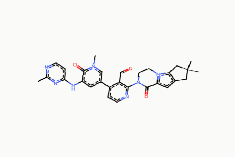 Cc1nccc(Nc2cc(-c3ccnc(N4CCn5c(cc6c5CC(C)(C)C6)C4=O)c3C=O)cn(C)c2=O)n1